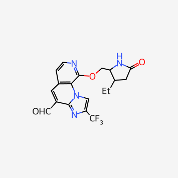 CCC1CC(=O)NC1COc1nccc2cc(C=O)c3nc(C(F)(F)F)cn3c12